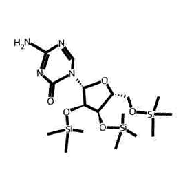 C[Si](C)(C)OC[C@H]1O[C@@H](n2cnc(N)nc2=O)[C@H](O[Si](C)(C)C)[C@@H]1O[Si](C)(C)C